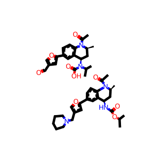 CC(=O)N1c2ccc(-c3cc(C=O)co3)cc2[C@H](N(C(=O)O)C(C)C)C[C@@H]1C.CC(=O)N1c2ccc(-c3cc(CN4CCCCC4)co3)cc2[C@H](NC(=O)OC(C)C)C[C@@H]1C